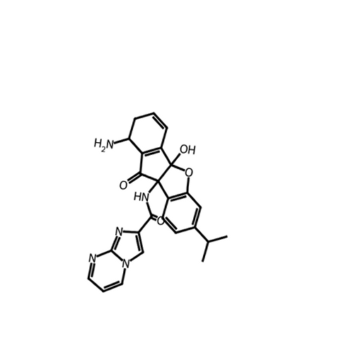 CC(C)c1ccc2c(c1)OC1(O)C3=C(C(=O)C21NC(=O)c1cn2cccnc2n1)C(N)CC=C3